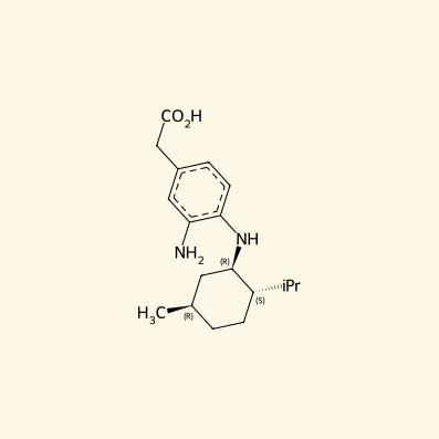 CC(C)[C@@H]1CC[C@@H](C)C[C@H]1Nc1ccc(CC(=O)O)cc1N